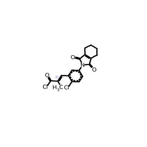 C/C(=C\c1cc(N2C(=O)C3=C(CCCC3)C2=O)ccc1Cl)C(=O)Cl